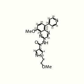 COCCn1cc(C(=O)Nc2cnc3c(-c4ccncc4)ccc(OC)c3n2)cn1